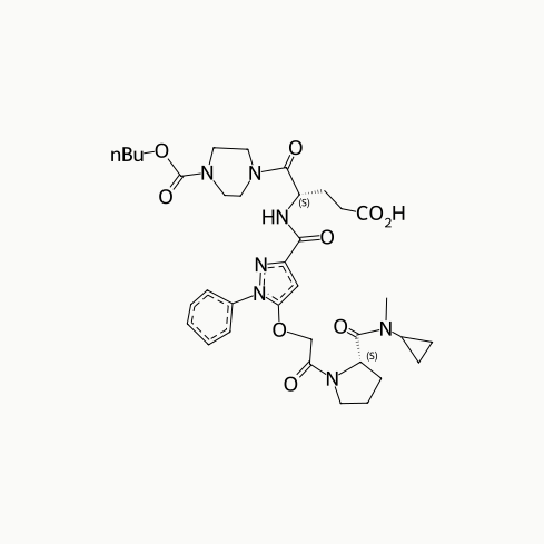 CCCCOC(=O)N1CCN(C(=O)[C@H](CCC(=O)O)NC(=O)c2cc(OCC(=O)N3CCC[C@H]3C(=O)N(C)C3CC3)n(-c3ccccc3)n2)CC1